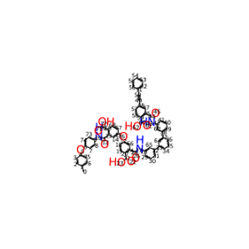 Cc1ccc(Oc2ccc(NC(=O)c3cc(Oc4ccc(C(=O)O)c(C(=O)Nc5cccc(-c6cccc(-c7cccc(NC(=O)c8cc(C#Cc9ccccc9)ccc8C(=O)O)c7)c6)c5)c4)ccc3C(=O)O)cc2)cc1